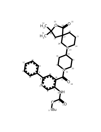 CC(C)(C)OC(=O)Nc1cnc(-c2ccccc2)cc1C(=O)N1CCC(N2CCCC3(C2)CC(C)(C)OC3=O)CC1